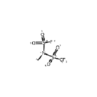 CN(S(=O)(=O)F)S(=O)(=O)C(F)(F)F